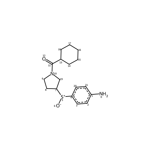 Nc1ccc([S+]([O-])C2CCN(C(=O)C3CCCCC3)C2)cc1